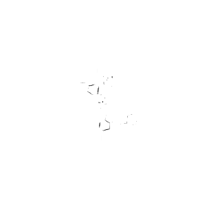 CC(C)(C)N[S+]([O-])c1cc(CO)ccc1NS(=O)(=O)CCc1ccc(F)cc1OCC1CCOCC1